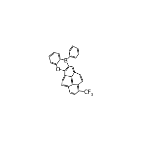 FC(F)(F)c1ccc2ccc3c4c(cc5ccc1c2c53)B(c1ccccc1)c1ccccc1O4